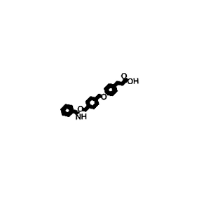 N=C(OCC1CCC(COc2ccc(CCC(=O)O)cc2)CC1)c1ccccc1